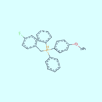 CCCOc1ccc([PH](Cc2ccc(F)cc2)(c2ccccc2)c2ccccc2)cc1